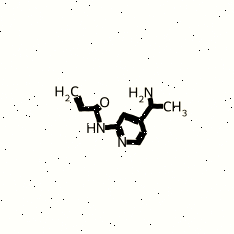 C=CC(=O)Nc1cc(C(C)N)ccn1